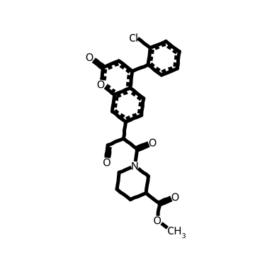 COC(=O)C1CCCN(C(=O)C(C=O)c2ccc3c(-c4ccccc4Cl)cc(=O)oc3c2)C1